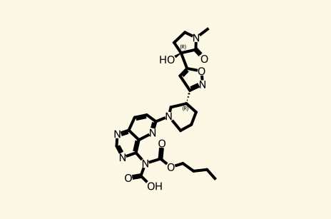 CCCCOC(=O)N(C(=O)O)c1ncnc2ccc(N3CCC[C@@H](c4cc([C@]5(O)CCN(C)C5=O)on4)C3)nc12